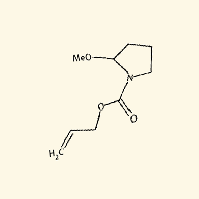 C=CCOC(=O)N1CCCC1OC